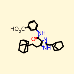 O=C(O)c1cccc(NC(=O)c2nc(C3CC4CCC3C4)[nH]c2CCC23CC4CC(CC(C4)C2)C3)c1